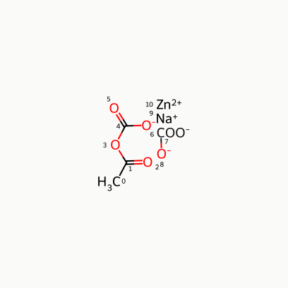 CC(=O)OC(=O)[O-].O=C([O-])[O-].[Na+].[Zn+2]